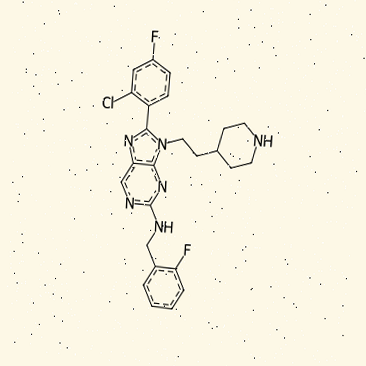 Fc1ccc(-c2nc3cnc(NCc4ccccc4F)nc3n2CCC2CCNCC2)c(Cl)c1